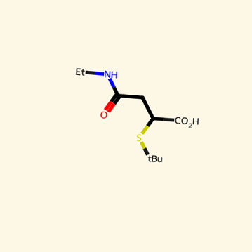 CCNC(=O)CC(SC(C)(C)C)C(=O)O